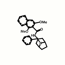 COc1cc2ccccc2c(OC)c1C(=O)NC1CC2CCC(C1)N2Cc1ccccc1